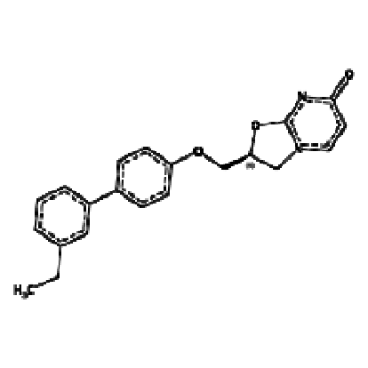 CCc1cccc(-c2ccc(OC[C@@H]3Cn4ccc(=O)nc4O3)cc2)c1